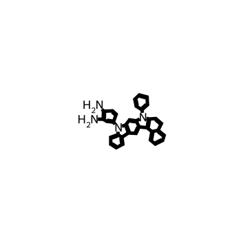 Nc1ccc(-n2c3ccccc3c3cc4c5c6ccccc6ccc5n(-c5ccccc5)c4cc32)cc1N